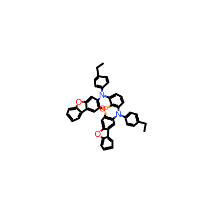 CCc1ccc(N2c3cc4c(cc3P3(=O)c5cc6c(cc5N(c5ccc(CC)cc5)c5cccc2c53)oc2ccccc26)oc2ccccc24)cc1